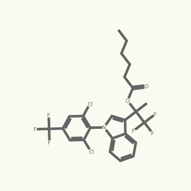 CCCCCC(=O)OC(C)(c1cn(-c2c(Cl)cc(C(F)(F)F)cc2Cl)c2ccccc12)C(F)(F)F